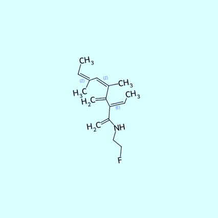 C=C(NCCF)/C(=C/C)C(=C)/C(C)=C\C(C)=C/C